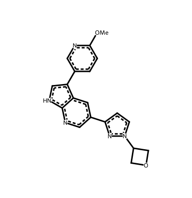 COc1ccc(-c2c[nH]c3ncc(-c4ccn(C5COC5)n4)cc23)cn1